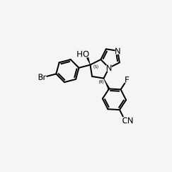 N#Cc1ccc([C@H]2C[C@](O)(c3ccc(Br)cc3)c3cncn32)c(F)c1